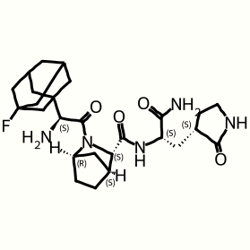 NC(=O)[C@H](C[C@@H]1CCNC1=O)NC(=O)[C@@H]1[C@H]2CC[C@H](C2)N1C(=O)[C@@H](N)C12CC3CC(CC(F)(C3)C1)C2